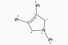 CC(C)C1=C(C(C)C)CN(C(C)C)C1